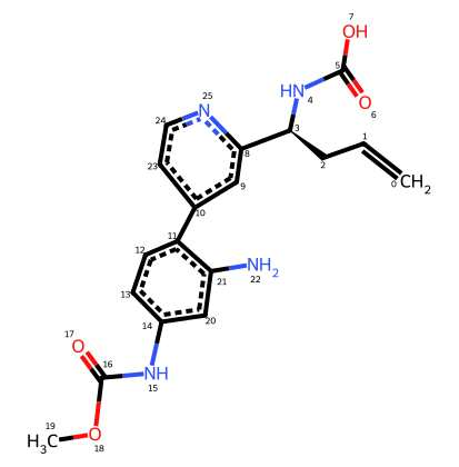 C=CC[C@H](NC(=O)O)c1cc(-c2ccc(NC(=O)OC)cc2N)ccn1